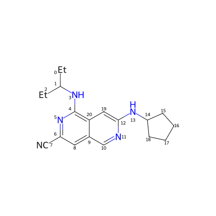 CCC(CC)Nc1nc(C#N)cc2cnc(NC3CCCC3)cc12